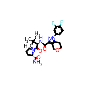 CC(C)(C)[C@H](NC(=O)c1nn(-c2ccc(F)c(F)c2)c2c1COCC2)C(=O)N1CCC[C@H]1C(N)=O